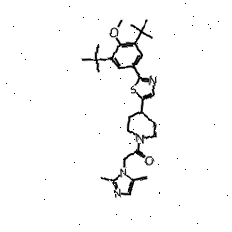 COc1c(C(C)(C)C)cc(-c2ncc(C3CCN(C(=O)Cn4c(C)cnc4C)CC3)s2)cc1C(C)(C)C